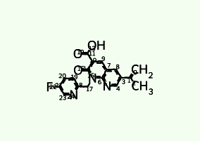 C=C(C)c1cnc2c(c1)cc(C(=O)O)c(=O)n2Cc1ccc(F)cn1